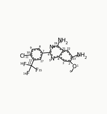 COc1cc2nc(-c3ccc(Cl)c(C(F)(F)F)c3)nc(N)c2cc1N